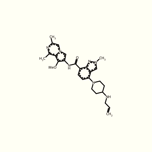 C=CCNC1CCN(c2ccc(C(=O)Nc3cn4cc(C)nc(C)c4c3OC)c3nn(C)cc23)CC1